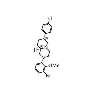 COc1c(Br)[c]ccc1N1CCN2C[C@@H](c3ccc(Cl)cc3)CC[C@@H]2C1